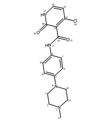 CN1CCN(c2ccc(NC(=O)c3c(Cl)cc[nH]c3=O)cc2)CC1